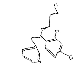 ClCCCCN(Cc1cccnc1)c1ccc(Cl)cc1Cl